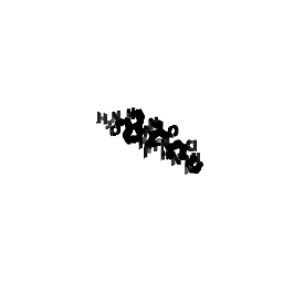 NC(=O)c1nccc2c(-n3ncc(C(=O)Nc4cnc(-n5nccn5)c(Cl)c4)c3C(F)(F)F)cccc12